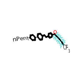 CCCCC[C@H]1CC[C@H](C2CCC(CCc3ccc(C(=O)C(F)(F)C(F)(F)C(F)(F)C(F)(F)C(F)(F)C(F)(F)C(F)(F)F)cc3)CC2)CC1